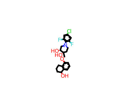 OC1CCCc2c(OC[C@]3(O)CCN(c4c(F)cc(Cl)cc4F)C[C@H]3O)cccc21